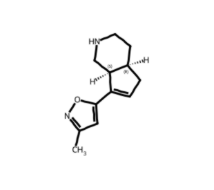 Cc1cc(C2=CC[C@@H]3CCNC[C@H]23)on1